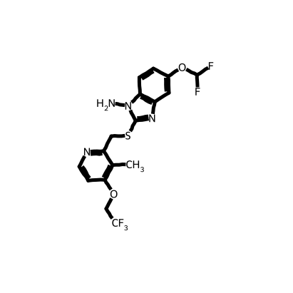 Cc1c(OCC(F)(F)F)ccnc1CSc1nc2cc(OC(F)F)ccc2n1N